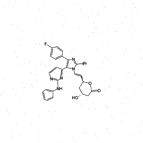 CC(C)c1nc(-c2ccc(F)cc2)c(-c2ccnc(Nc3ccccc3)n2)n1/C=C/[C@@H]1C[C@@H](O)CC(=O)O1